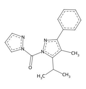 Cc1c(-c2ccccc2)nn(C(=O)n2cccn2)c1C(C)C